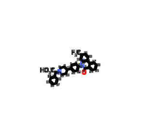 O=C(Nc1ccc(C2CCN([C@@H](C(=O)O)c3ccccc3)CC2)cc1)c1ccccc1-c1ccc(C(F)(F)F)cc1